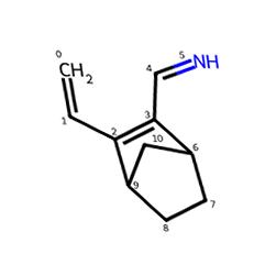 C=CC1=C(C=N)C2CCC1C2